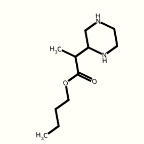 CCCCOC(=O)C(C)C1CNCCN1